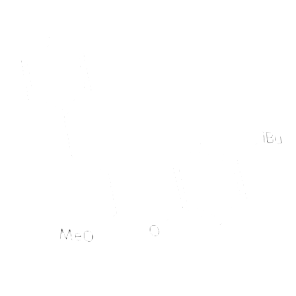 CCC(C)c1ccc(OC(CCc2ccccc2)OC)cc1